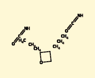 C.C.C.C.C.C.C1COC1.N=C=O.N=C=O